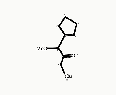 COC(C(=O)CC(C)(C)C)C1CCCC1